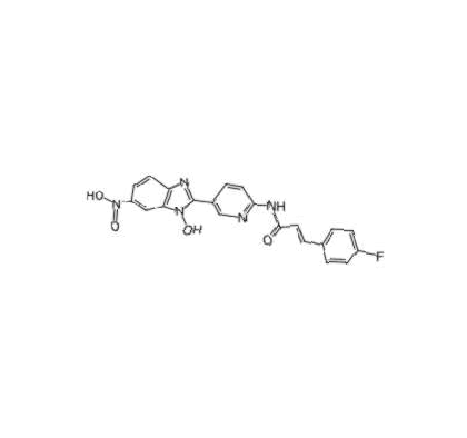 O=C(/C=C/c1ccc(F)cc1)Nc1ccc(-c2nc3ccc([N+](=O)O)cc3n2O)cn1